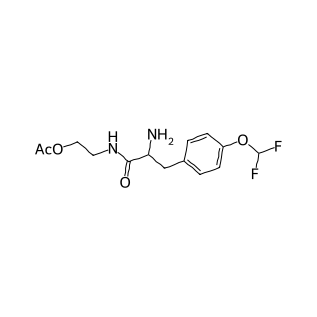 CC(=O)OCCNC(=O)C(N)Cc1ccc(OC(F)F)cc1